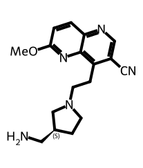 COc1ccc2ncc(C#N)c(CCN3CC[C@@H](CN)C3)c2n1